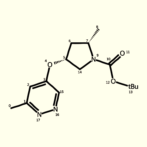 Cc1cc(O[C@@H]2C[C@H](C)N(C(=O)OC(C)(C)C)C2)cnn1